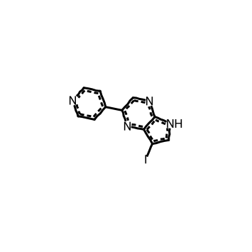 Ic1c[nH]c2ncc(-c3ccncc3)nc12